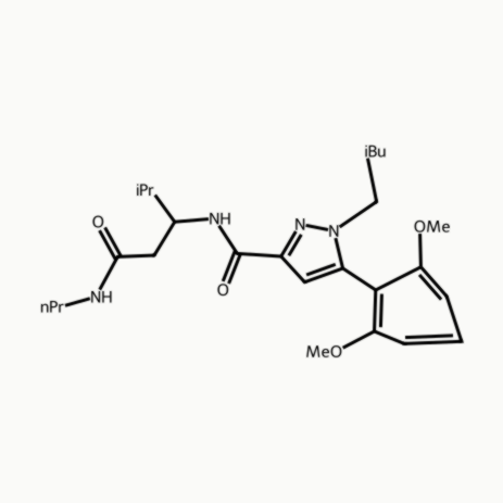 CCCNC(=O)CC(NC(=O)c1cc(-c2c(OC)cccc2OC)n(CC(C)CC)n1)C(C)C